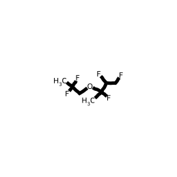 CC(F)(F)COC(C)(F)C(F)CF